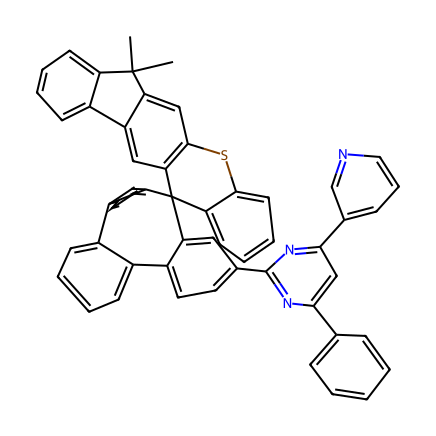 CC1(C)c2ccccc2-c2cc3c(cc21)Sc1ccccc1C31c2ccccc2-c2ccccc2-c2ccc(-c3nc(-c4ccccc4)cc(-c4cccnc4)n3)cc21